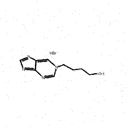 Br.CCCCCCCCCCCCn1cnc2ncnc-2c1